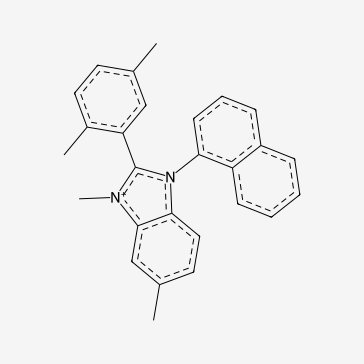 Cc1ccc(C)c(-c2n(-c3cccc4ccccc34)c3ccc(C)cc3[n+]2C)c1